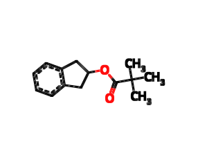 CC(C)(C)C(=O)OC1Cc2ccccc2C1